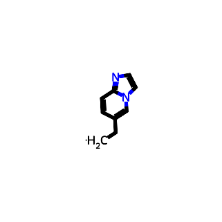 [CH2]Cc1ccc2nccn2c1